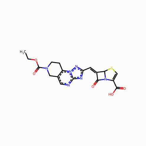 CCOC(=O)N1CCc2c(cnc3nc(C=C4C(=O)N5C(C(=O)O)=CSC45)nn23)C1